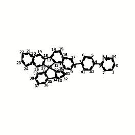 c1ccc(-c2ccc(-c3ccc4c5c(ccc4c3)-c3cc4ccccc4cc3C53c4ccccc4-c4ccccc43)cc2)nc1